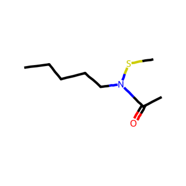 CCCCCN(SC)C(C)=O